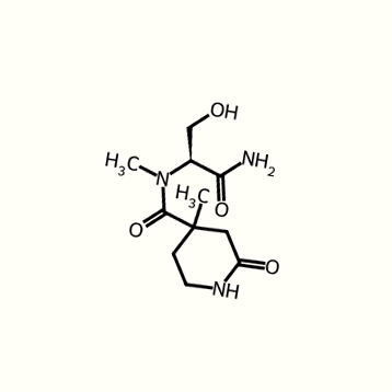 CN(C(=O)C1(C)CCNC(=O)C1)[C@@H](CO)C(N)=O